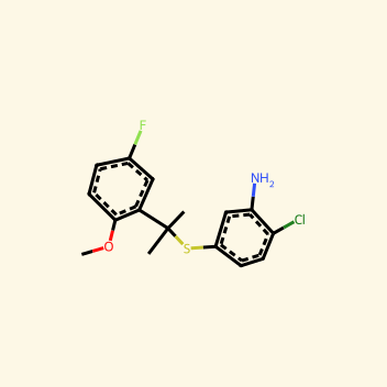 COc1ccc(F)cc1C(C)(C)Sc1ccc(Cl)c(N)c1